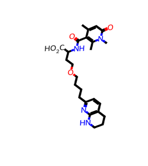 Cc1cc(=O)n(C)c(C)c1C(=O)NC(CCOCCCCc1ccc2c(n1)NCCC2)C(=O)O